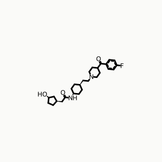 O=C(C[C@H]1CC[C@@H](O)C1)N[C@H]1CC[C@H](CCN2CCC(C(=O)c3ccc(F)cc3)CC2)CC1